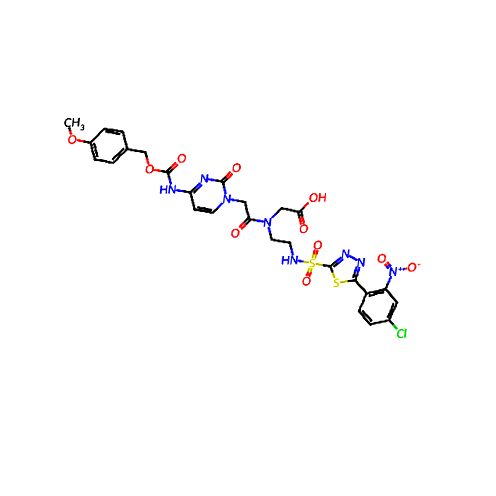 COc1ccc(COC(=O)Nc2ccn(CC(=O)N(CCNS(=O)(=O)c3nnc(-c4ccc(Cl)cc4[N+](=O)[O-])s3)CC(=O)O)c(=O)n2)cc1